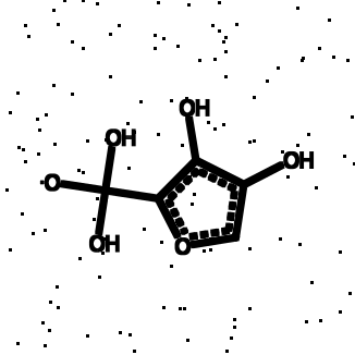 [O]C(O)(O)c1occ(O)c1O